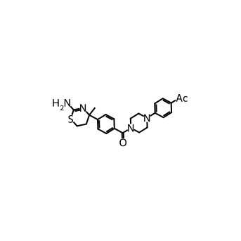 CC(=O)c1ccc(N2CCN(C(=O)c3ccc(C4(C)CCSC(N)=N4)cc3)CC2)cc1